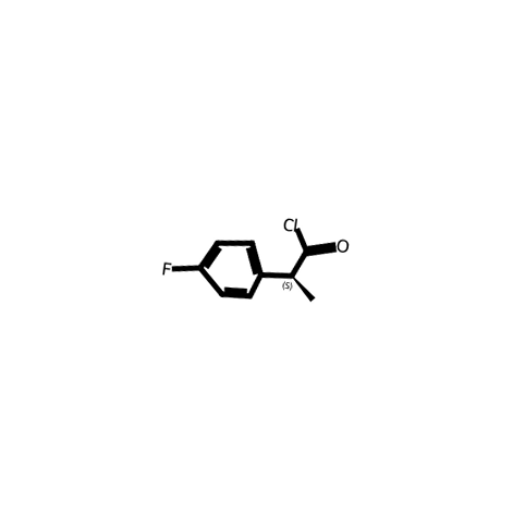 C[C@H](C(=O)Cl)c1ccc(F)cc1